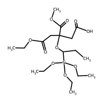 CCOC(=O)CC(CC(=O)O)(OC(CC)[Si](OCC)(OCC)OCC)C(=O)OC